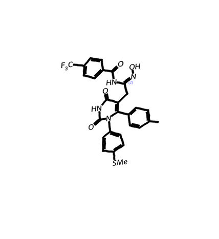 CSc1ccc(-n2c(-c3ccc(C)cc3)c(C/C(=N/O)NC(=O)c3ccc(C(F)(F)F)cc3)c(=O)[nH]c2=O)cc1